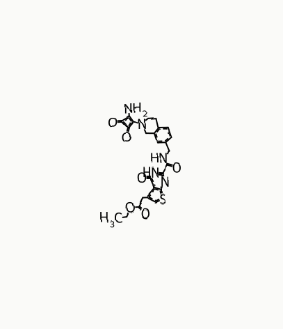 CCOC(=O)Cc1csc2nc(C(=O)NCc3ccc4c(c3)CN(c3c(N)c(=O)c3=O)CC4)[nH]c(=O)c12